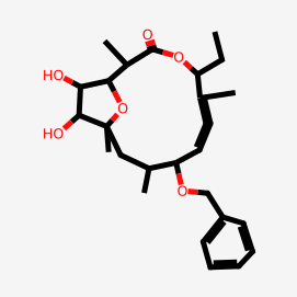 CCC1OC(=O)C(C)C2OC(C)(CC(C)C(OCc3ccccc3)C=C=C1C)C(O)C2O